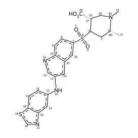 C[C@@H]1CC(S(=O)(=O)c2ccc3ncc(Nc4ccc5scnc5c4)cc3c2)[C@H](C(=O)O)CN1C